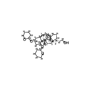 C[C@]12CC[C@H]3[C@@H](CC=C4C[C@@H](OC5CCCCO5)C[C@H](OC5CCCCO5)[C@@]43C)[C@@H]1CC[C@@H]2CCO